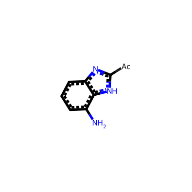 CC(=O)c1nc2cccc(N)c2[nH]1